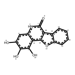 O=c1[nH]c2cc(O)c(O)c(O)c2c2oc3ccccc3c12